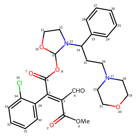 COC(=O)/C(C=O)=C(/C(=O)OC1OCCN1C(CCN1CCOCC1)c1ccccc1)c1ccccc1Cl